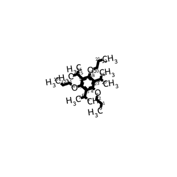 CCCOc1c(C(C)C)c(OCCC)c(C(C)C)c(OCCC)c1C(C)C